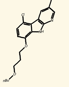 CCCCOCCCOc1ccc(Cl)c2c1[nH]c1ncc(C)cc12